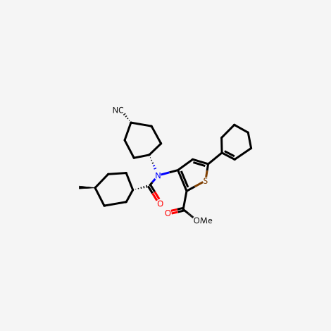 COC(=O)c1sc(C2=CCCCC2)cc1N(C(=O)[C@H]1CC[C@H](C)CC1)[C@H]1CC[C@@H](C#N)CC1